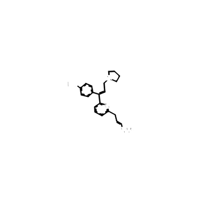 CNC=CCc1cccc(C(=CCN2CCCC2)c2ccc(C)cc2)n1